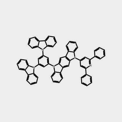 c1ccc(-c2cc(-n3c4ccccc4c4cc5c(cc43)c3ccccc3n5-c3cc(-n4c5ccccc5c5ccccc54)cc(-n4c5ccccc5c5ccccc54)c3)cc(-c3ccccc3)n2)cc1